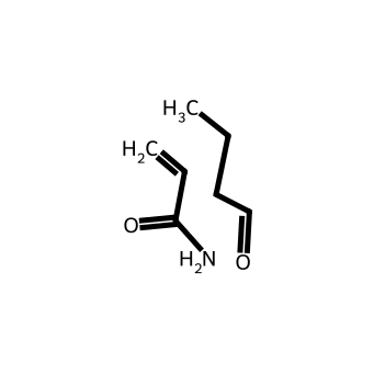 C=CC(N)=O.CCCC=O